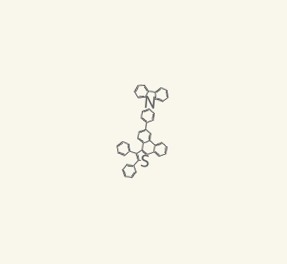 c1ccc(-c2sc3c4ccccc4c4cc(-c5ccc(-n6c7ccccc7c7ccccc76)cc5)ccc4c3c2-c2ccccc2)cc1